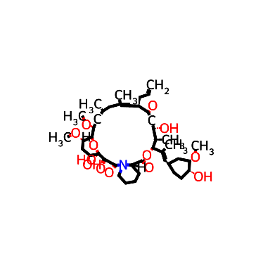 C=CC[C@@H]1/C=C(\C)C[C@H](C)C[C@H](OC)[C@H]2O[C@@](O)(C(=O)C(=O)N3CCCC[C@H]3C(=O)OC(/C(C)=C/[C@@H]3CC[C@@H](O)[C@H](OC)C3)[C@H](C)[C@@H](O)CC1=O)[C@H](O)C[C@@H]2OC